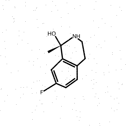 C[C@@]1(O)NCCc2ccc(F)cc21